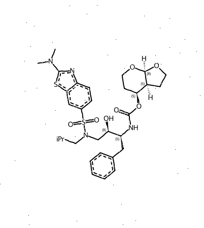 CC(C)CN(C[C@@H](O)[C@H](Cc1ccccc1)NC(=O)O[C@H]1CCO[C@H]2OCC[C@H]21)S(=O)(=O)c1ccc2nc(N(C)C)sc2c1